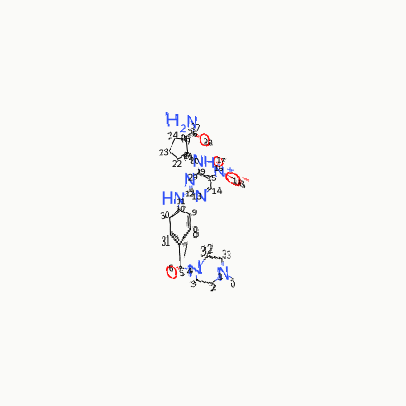 CN1CCN(C(=O)c2ccc(Nc3ncc([N+](=O)[O-])c(N[C@@H]4CCC[C@@H]4C(N)=O)n3)cc2)CC1